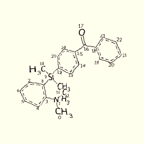 CN(C)c1ccccc1[Si](C)(C)c1ccc(C(=O)c2ccccc2)cc1